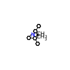 CC1(C)c2cc(-c3ccccc3)ccc2N2Cc3ccccc3-c3cc(-c4ccccc4)cc1c32